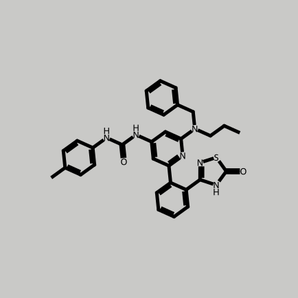 CCCN(Cc1ccccc1)c1cc(NC(=O)Nc2ccc(C)cc2)cc(-c2ccccc2-c2nsc(=O)[nH]2)n1